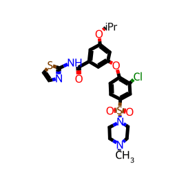 CC(C)Oc1cc(Oc2ccc(S(=O)(=O)N3CCN(C)CC3)cc2Cl)cc(C(=O)Nc2nccs2)c1